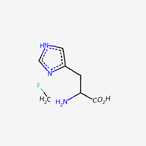 CF.NC(Cc1c[nH]cn1)C(=O)O